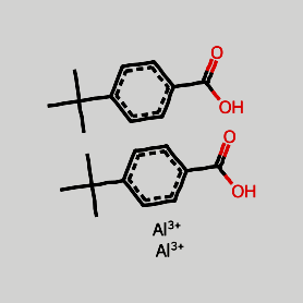 CC(C)(C)c1ccc(C(=O)O)cc1.CC(C)(C)c1ccc(C(=O)O)cc1.[Al+3].[Al+3]